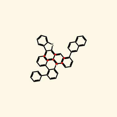 c1ccc(-c2ccccc2-c2c(-c3ccccc3)cccc2N(c2cccc(-c3ccc4ccccc4c3)c2)c2ccc3c(c2)sc2ccccc23)cc1